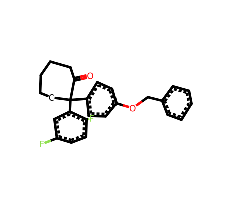 O=C1CCCCCC1(c1ccc(OCc2ccccc2)cc1)c1cc(F)ccc1F